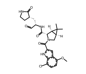 COc1ccc(Cl)c2[nH]c(C(=O)N3C[C@H]4[C@@H]([C@H]3C(=O)N[C@H](C=O)C[C@@H]3CCNC3=O)C4(C)C)cc12